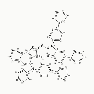 c1ccc(-c2ccc(-n3c4cc(-c5ccccc5)ccc4c4cc5c(cc43)sc3c4ccccc4c4c6ccccc6n(-c6ccc(-c7ccccc7)cc6)c4c53)cc2)cc1